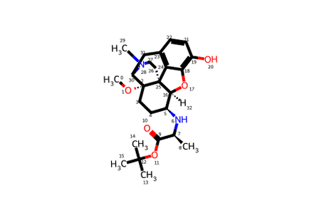 CO[C@@]12CC[C@H](N[C@@H](C)C(=O)OC(C)(C)C)[C@@H]3Oc4c(O)ccc5c4[C@@]31CCN(C)C2C5